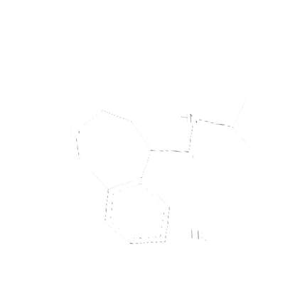 CC(C)NCC1CCOCc2ccccc21.Cl